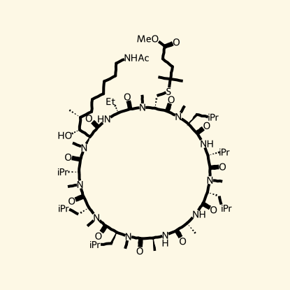 CC[C@H]1NC(=O)[C@H]([C@H](O)[C@H](C)CCCCCCNC(C)=O)N(C)C(=O)[C@@H](C(C)C)N(C)C(=O)[C@@H](CC(C)C)N(C)C(=O)[C@H](CC(C)C)N(C)C(=O)[C@H](C)NC(=O)[C@@H](C)NC(=O)[C@@H](CC(C)C)N(C)C(=O)[C@@H](C(C)C)NC(=O)[C@H](CC(C)C)N(C)C(=O)[C@@H](CSC(C)(C)CCC(=O)OC)N(C)C1=O